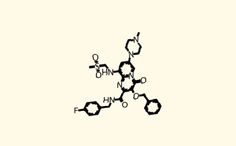 CN1CCN(c2cc(NCS(C)(=O)=O)c3nc(C(=O)NCc4ccc(F)cc4)c(OCc4ccccc4)c(=O)n3c2)CC1